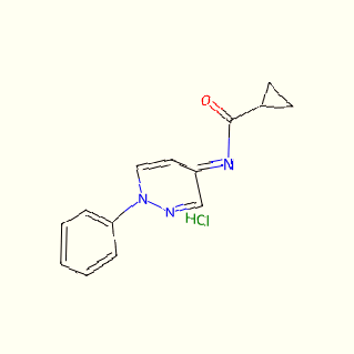 Cl.O=C(/N=c1\ccn(-c2ccccc2)nc1)C1CC1